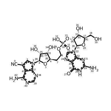 N#Cc1cn([C@@H]2O[C@H](CCOP(=O)(O)O[C@@H]3[C@H](O)[C@@H](CO)O[C@H]3n3cnc4c(=O)[nH]c(N)nc43)[C@@H](O)[C@H]2O)c2ncnc(N)c12